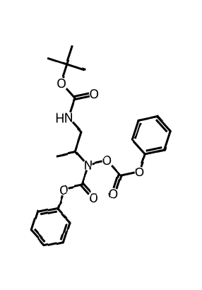 CC(CNC(=O)OC(C)(C)C)N(OC(=O)Oc1ccccc1)C(=O)Oc1ccccc1